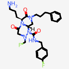 NCCC[C@H]1C(=O)N(CCCc2ccccc2)C[C@H]2N1C(=O)CN(CF)N2C(=O)NCc1ccc(F)cc1